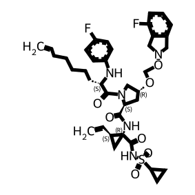 C=CCCCCC[C@H](Nc1ccc(F)cc1)C(=O)N1C[C@H](OCON2Cc3cccc(F)c3C2)C[C@H]1C(=O)N[C@]1(C(=O)NS(=O)(=O)C2CC2)C[C@H]1C=C